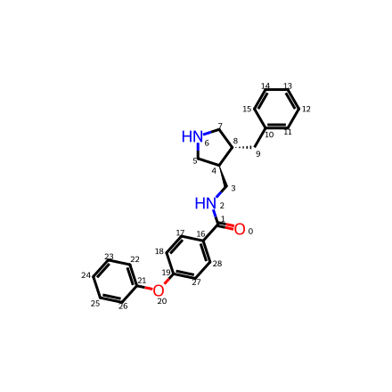 O=C(NC[C@H]1CNC[C@@H]1Cc1ccccc1)c1ccc(Oc2ccccc2)cc1